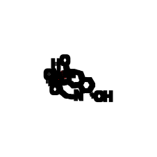 O=C1CC(=O)c2cc3occ[nH]c2/C1=C1\C=C2CC[C@H](CO)/C(=N/CC3)C2=Cc2c[nH]cc21